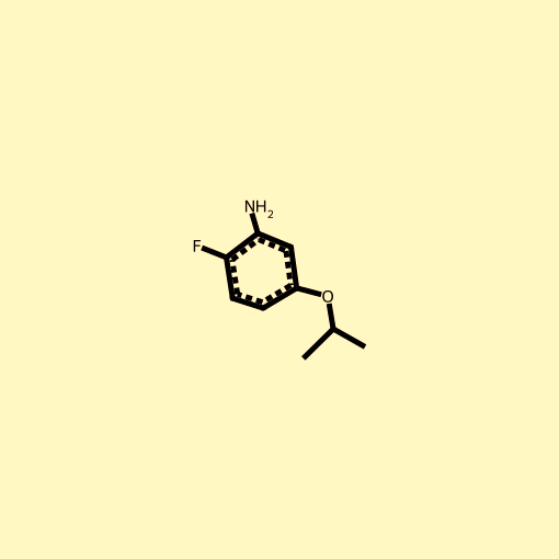 CC(C)Oc1ccc(F)c(N)c1